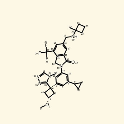 CO[C@H]1C[C@](c2cc(C3CC3)cc(N3Cc4c(cc(CNC5(C)CCC5)cc4C(F)(F)F)C3=O)c2)(c2nncn2C)C1